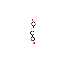 Oc1ccc(C2CCC(OCC3CCC(O)CC3)CC2)cc1